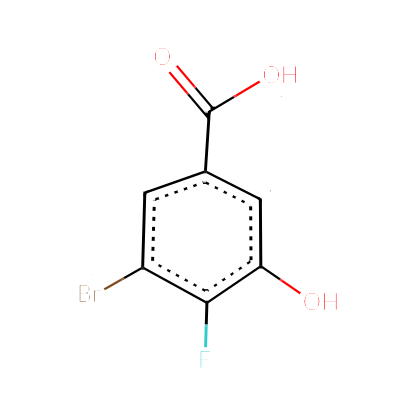 O=C(O)c1cc(O)c(F)c(Br)c1